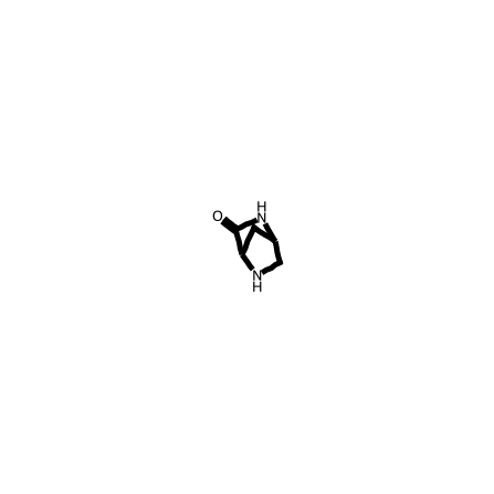 O=C1NC2CNC1C2